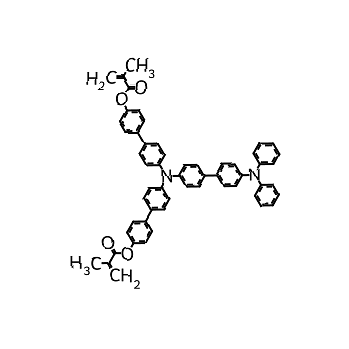 C=C(C)C(=O)Oc1ccc(-c2ccc(N(c3ccc(-c4ccc(OC(=O)C(=C)C)cc4)cc3)c3ccc(-c4ccc(N(c5ccccc5)c5ccccc5)cc4)cc3)cc2)cc1